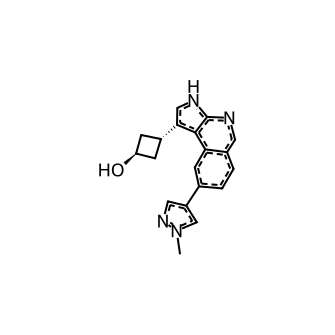 Cn1cc(-c2ccc3cnc4[nH]cc([C@H]5C[C@H](O)C5)c4c3c2)cn1